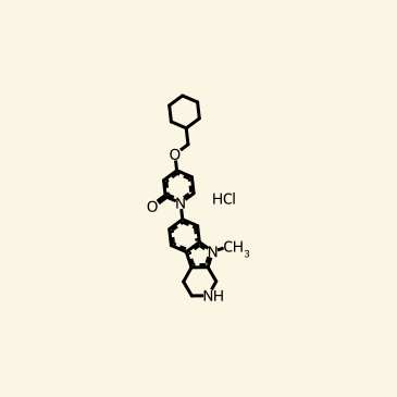 Cl.Cn1c2c(c3ccc(-n4ccc(OCC5CCCCC5)cc4=O)cc31)CCNC2